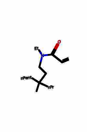 C=CC(=O)N(CC)CCC(C)(CCC)CCCCC